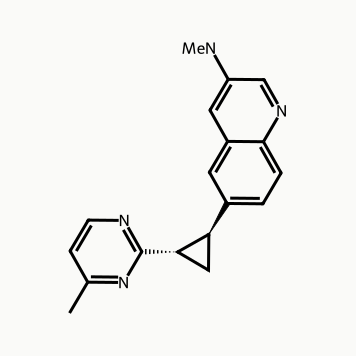 CNc1cnc2ccc([C@H]3C[C@@H]3c3nccc(C)n3)cc2c1